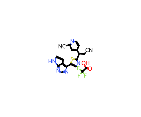 N#CCC(c1ccnc(C#N)c1)c1ncc(-c2ncnc3[nH]ccc23)s1.O=C(O)C(F)(F)F